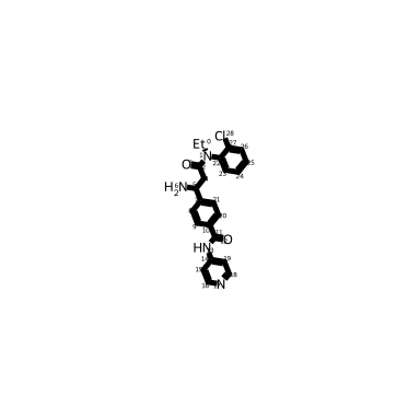 CCN(C(=O)CC(N)c1ccc(C(=O)Nc2ccncc2)cc1)c1ccccc1Cl